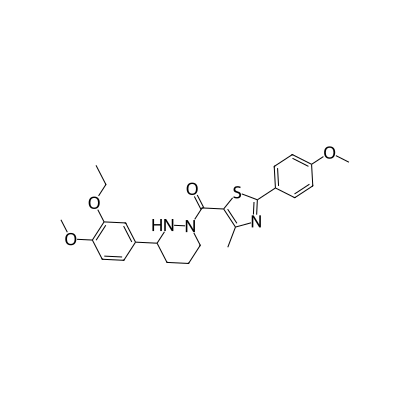 CCOc1cc(C2CCCN(C(=O)c3sc(-c4ccc(OC)cc4)nc3C)N2)ccc1OC